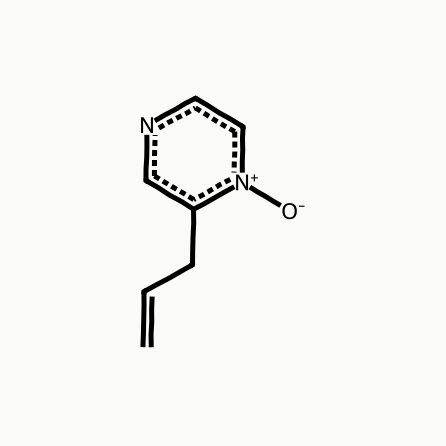 C=CCc1cncc[n+]1[O-]